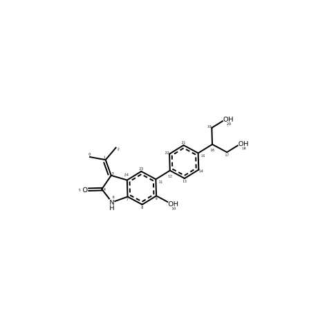 CC(C)=C1C(=O)Nc2cc(O)c(-c3ccc(C(CO)CO)cc3)cc21